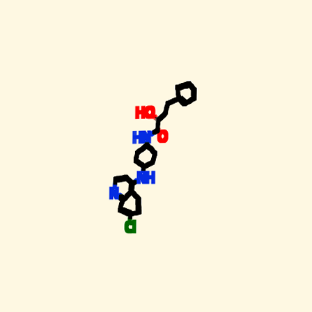 O=C(NC1CCC(Nc2ccnc3cc(Cl)ccc23)CC1)[C@H](O)CCc1ccccc1